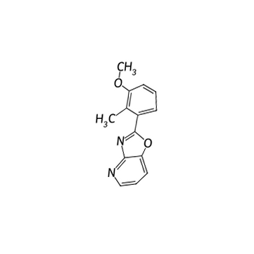 COc1cccc(-c2nc3ncccc3o2)c1C